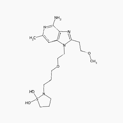 COCCc1nc2c(N)nc(C)cc2n1CCOCCCN1CCCS1(O)O